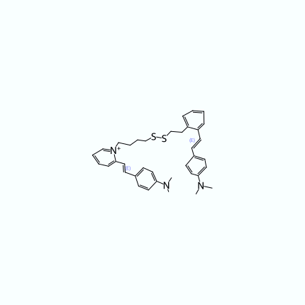 CN(C)c1ccc(/C=C/c2ccccc2CCSSCCCC[n+]2ccccc2/C=C/c2ccc(N(C)C)cc2)cc1